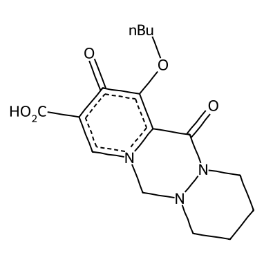 CCCCOc1c2n(cc(C(=O)O)c1=O)CN1CCCCN1C2=O